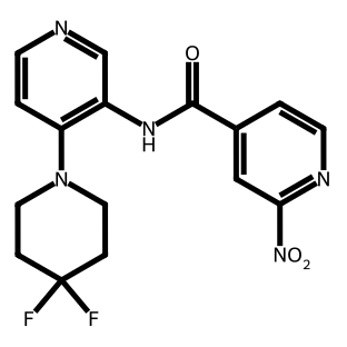 O=C(Nc1cnccc1N1CCC(F)(F)CC1)c1ccnc([N+](=O)[O-])c1